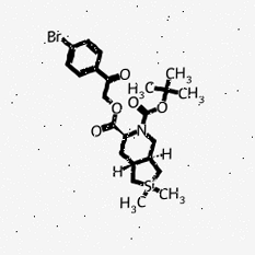 CC(C)(C)OC(=O)N1C[C@H]2C[Si](C)(C)C[C@@H]2C[C@H]1C(=O)OCC(=O)c1ccc(Br)cc1